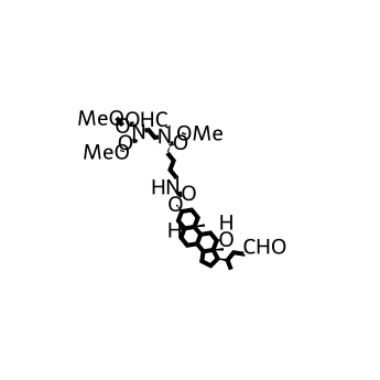 COOCN(CCN(CC=O)[C@@H](CCCCNC(=O)O[C@@H]1CC[C@]2(C)C3C[C@H](O)[C@@]4(C)C(CC[C@@H]4C(C)CCC=O)C3CC[C@@H]2C1)OOC)COOC